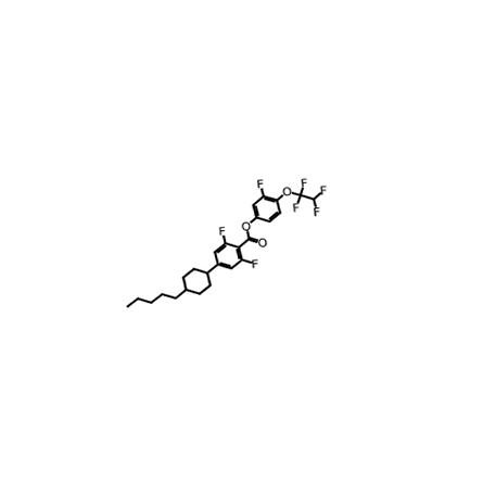 CCCCCC1CCC(c2cc(F)c(C(=O)Oc3ccc(OC(F)(F)C(F)F)c(F)c3)c(F)c2)CC1